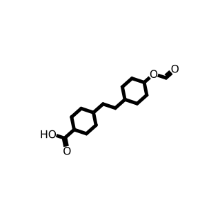 O=COC1CCC(CCC2CCC(C(=O)O)CC2)CC1